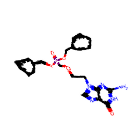 Nc1nc2c(ncn2CCOCP(=O)(OCc2ccccc2)OCc2ccccc2)c(=O)[nH]1